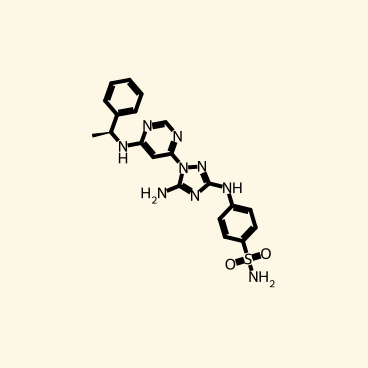 C[C@H](Nc1cc(-n2nc(Nc3ccc(S(N)(=O)=O)cc3)nc2N)ncn1)c1ccccc1